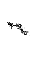 Cc1ccc(S(=O)(=O)NCCCC[C@@H](N)C(=O)N2CCC[C@H]2C(=O)N[C@H](C=O)CCCNC(=N)N)cc1